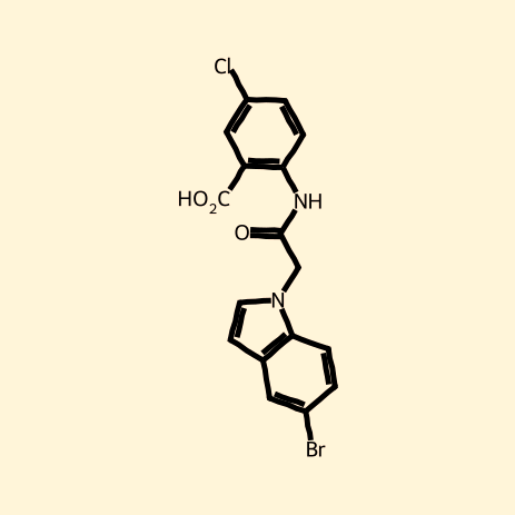 O=C(Cn1ccc2cc(Br)ccc21)Nc1ccc(Cl)cc1C(=O)O